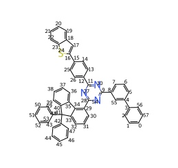 c1ccc(-c2cccc(-c3nc(-c4ccc(-c5cc6ccccc6s5)cc4)nc(-c4cccc5c4-c4ccccc4C5(c4ccccc4)c4ccccc4)n3)c2)cc1